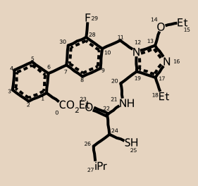 CCOC(=O)c1ccccc1-c1ccc(Cn2c(OCC)nc(CC)c2CNC(=O)C(S)CC(C)C)c(F)c1